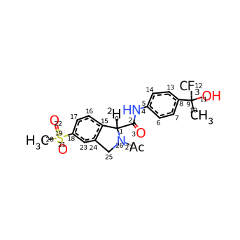 [2H]C1(C(=O)Nc2ccc(C(C)(O)C(F)(F)F)cc2)c2ccc(S(C)(=O)=O)cc2CN1C(C)=O